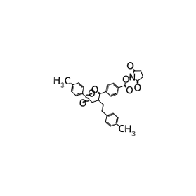 Cc1ccc(CCC(CS(=O)(=O)c2ccc(C)cc2)C(=O)c2ccc(C(=O)ON3C(=O)CCC3=O)cc2)cc1